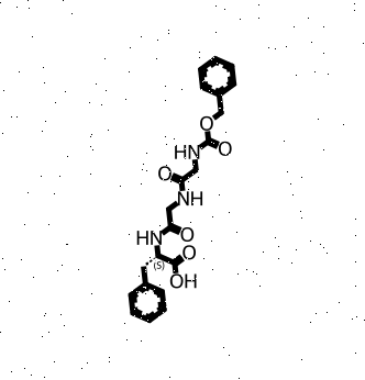 O=C(CNC(=O)OCc1ccccc1)NCC(=O)N[C@@H](Cc1ccccc1)C(=O)O